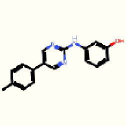 Cc1ccc(-c2cnc(Nc3cccc(O)c3)nc2)cc1